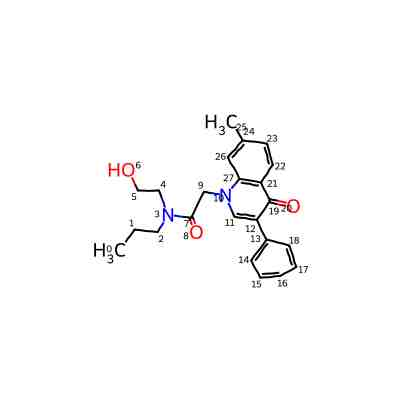 CCCN(CCO)C(=O)Cn1cc(-c2ccccc2)c(=O)c2ccc(C)cc21